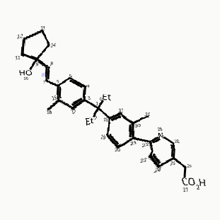 CCC(CC)(c1ccc(/C=C/C2(O)CCCC2)c(C)c1)c1ccc(-c2ccc(CC(=O)O)cn2)c(C)c1